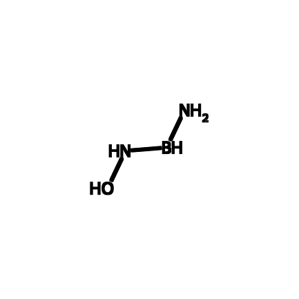 NBNO